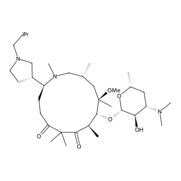 CO[C@]1(C)C[C@@H](C)CN(C)[C@H]([C@@H]2CCN(CC(C)C)C2)CCC(=O)C(C)(C)C(=O)[C@H](C)[C@H]1O[C@@H]1O[C@H](C)C[C@H](N(C)C)[C@H]1O